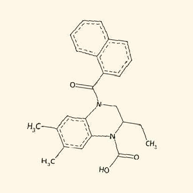 CCC1CN(C(=O)c2cccc3ccccc23)c2cc(C)c(C)cc2N1C(=O)O